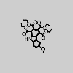 CCOC(=O)c1c(C(=O)OCC)c(C(=O)OCC)c2c([nH]c3ccc(OC)cc32)c1C(=O)OCC